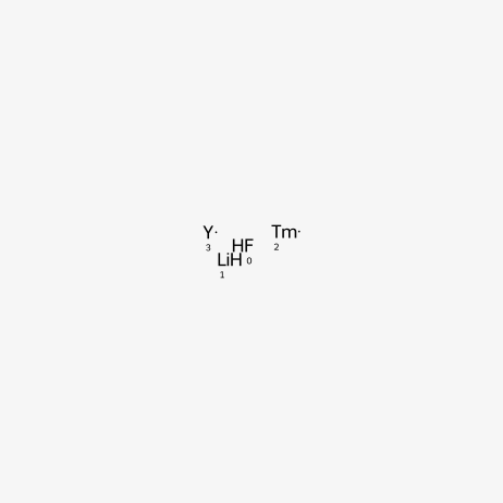 F.[LiH].[Tm].[Y]